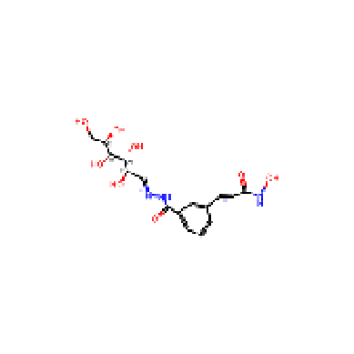 O=C(/C=C/c1cccc(C(=O)N/N=C/[C@@H](O)[C@@H](O)[C@H](O)[C@H](O)CO)c1)NO